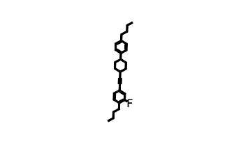 CCCCc1ccc(C2CCC(C#Cc3ccc(CCCC)c(F)c3)CC2)cc1